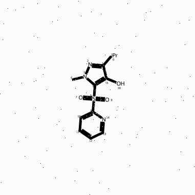 CC(C)c1nn(C)c(S(=O)(=O)c2ccccn2)c1O